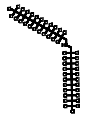 ClC(Cl)(Cl)C(Cl)(Cl)C(Cl)(Cl)C(Cl)(Cl)C(Cl)(Cl)C(Cl)(Cl)C(Cl)(Cl)C(Cl)(Cl)C(Cl)(Cl)C(Cl)(Cl)C(Cl)(Cl)CNCC(Cl)(Cl)C(Cl)(Cl)C(Cl)(Cl)C(Cl)(Cl)C(Cl)(Cl)C(Cl)(Cl)C(Cl)(Cl)C(Cl)(Cl)C(Cl)(Cl)C(Cl)(Cl)C(Cl)(Cl)Cl